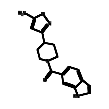 Nc1cc(C2CCN(C(=O)c3ccc4cc[nH]c4c3)CC2)no1